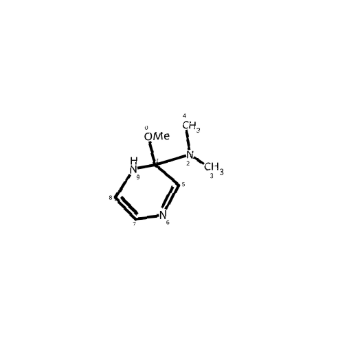 COC1(N(C)C)C=NC=[C]N1